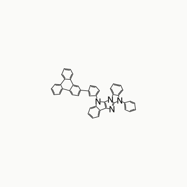 c1ccc(-n2c3ccccc3n3c2nc2c4ccccc4n(-c4cccc(-c5ccc6c7ccccc7c7ccccc7c6c5)c4)c23)cc1